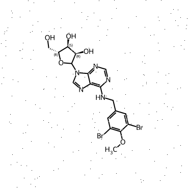 COc1c(Br)cc(CNc2ncnc3c2ncn3C2O[C@H](CO)[C@@H](O)[C@H]2O)cc1Br